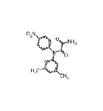 Cc1cc(C)nc(N(C(=O)C(N)=O)c2ccc([N+](=O)[O-])cc2)c1